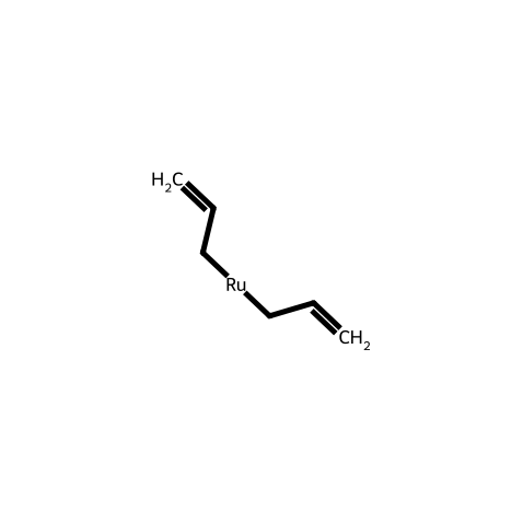 C=C[CH2][Ru][CH2]C=C